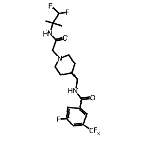 CC(C)(NC(=O)CN1CCC(CNC(=O)c2cc(F)cc(C(F)(F)F)c2)CC1)C(F)F